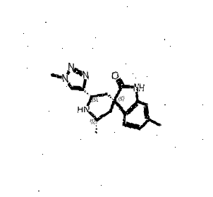 Cc1ccc2c(c1)NC(=O)[C@@]21C[C@@H](c2cn(C)nn2)N[C@@H](C)C1